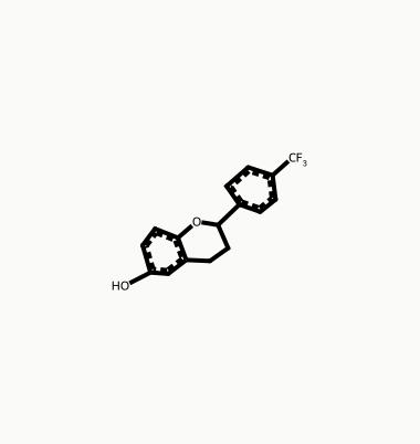 Oc1ccc2c(c1)CCC(c1ccc(C(F)(F)F)cc1)O2